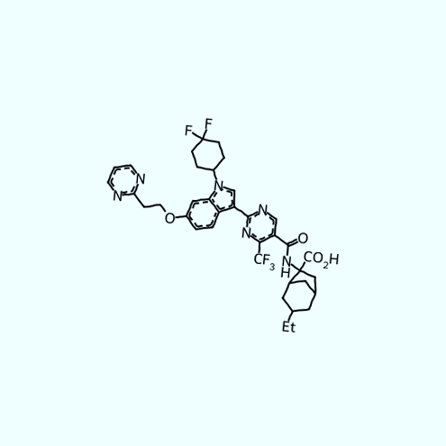 CCC1CC2CC(C1)C(NC(=O)c1cnc(-c3cn(C4CCC(F)(F)CC4)c4cc(OCCc5ncccn5)ccc34)nc1C(F)(F)F)(C(=O)O)C2